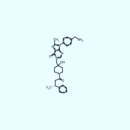 Cc1nc2c(=O)n(CC3(O)CCN(C(=O)C[C@H](c4ccccc4)C(F)(F)F)CC3)cnc2n1-c1ccc(CN)cc1